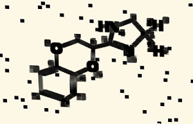 [2H]C1([2H])CNC(C2COc3ccccc3O2)=N1